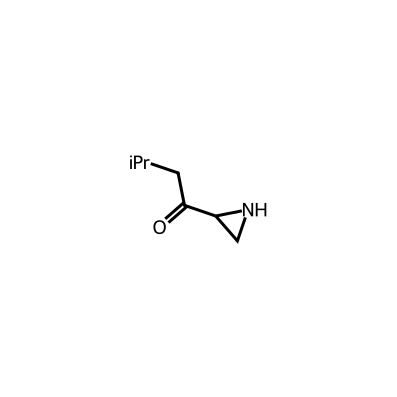 CC(C)CC(=O)C1CN1